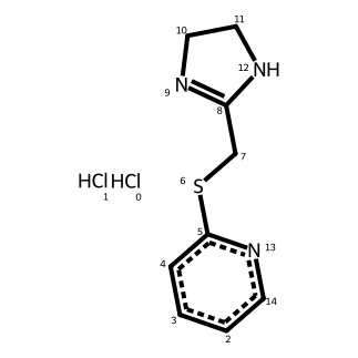 Cl.Cl.c1ccc(SCC2=NCCN2)nc1